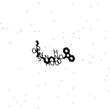 C=CCOC(=O)c1csc(-c2cccc(CC(NC(=O)OCC3c4ccccc4-c4ccccc43)C(=O)O)n2)n1